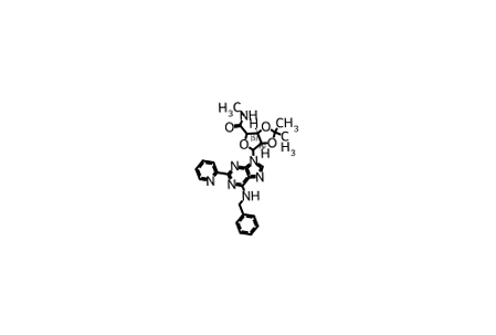 CNC(=O)C1OC(n2cnc3c(NCc4ccccc4)nc(-c4ccccn4)nc32)[C@@H]2OC(C)(C)O[C@H]12